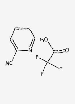 N#Cc1ccccn1.O=C(O)C(F)(F)F